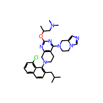 CC(C)Cc1ccc2cccc(Cl)c2c1N1CCc2c(nc(OC(C)CN(C)C)nc2N2CCn3cncc3C2)C1